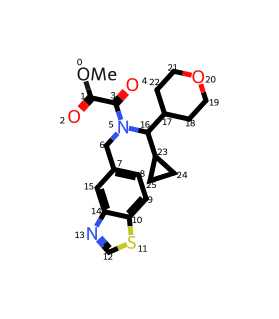 COC(=O)C(=O)N(Cc1ccc2scnc2c1)C(C1CCOCC1)C1CC1